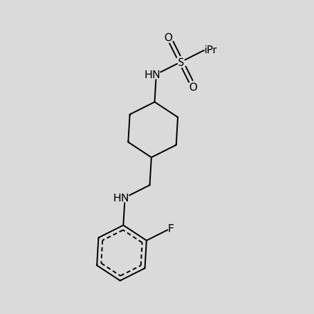 CC(C)S(=O)(=O)NC1CCC(CNc2ccccc2F)CC1